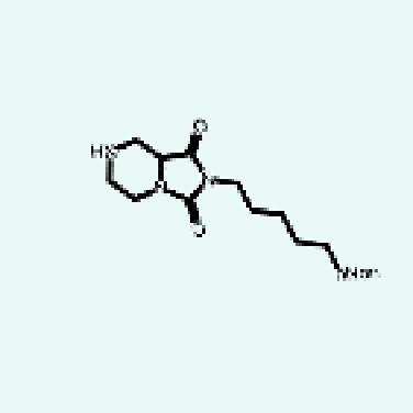 CCCCCCCCCCCCCCN1C(=O)C2CNCCN2C1=O